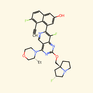 C#Cc1c(F)ccc2cc(O)cc(-c3ncc4c(N5CCOC[C@H]5CC)nc(OC[C@@]56CCCN5C[C@H](F)C6)nc4c3F)c12